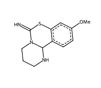 COc1ccc2c(c1)SC(=N)N1CCCNC21